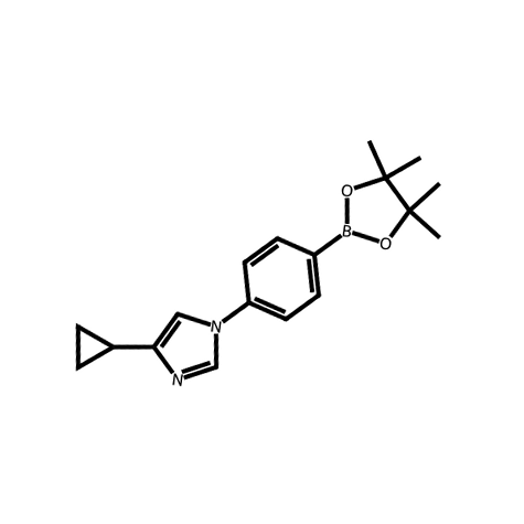 CC1(C)OB(c2ccc(-n3cnc(C4CC4)c3)cc2)OC1(C)C